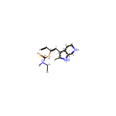 C=C/C(=C/c1c(C)[nH]c2cnccc12)SC(=S)N(C)CC